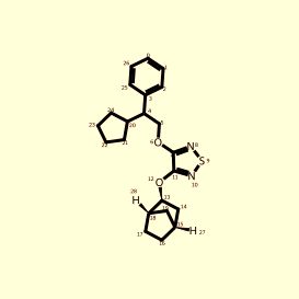 c1ccc(C(COc2nsnc2O[C@H]2C[C@@H]3CC[C@H]2C3)C2CCCC2)cc1